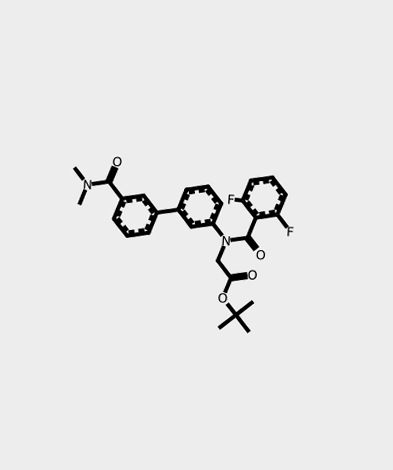 CN(C)C(=O)c1cccc(-c2cccc(N(CC(=O)OC(C)(C)C)C(=O)c3c(F)cccc3F)c2)c1